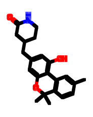 Cc1ccc2c(c1)-c1c(O)cc(CC3CCNC(=O)C3)cc1OC2(C)C